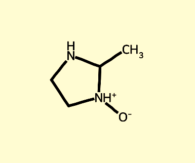 CC1NCC[NH+]1[O-]